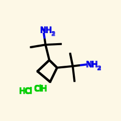 CC(C)(N)C1CCC1C(C)(C)N.Cl.Cl